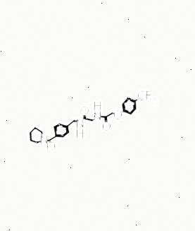 O=C(CNC(=O)COc1ccc(C(F)(F)F)cc1)NCc1ccc(C(=O)N2CCCCC2)cc1